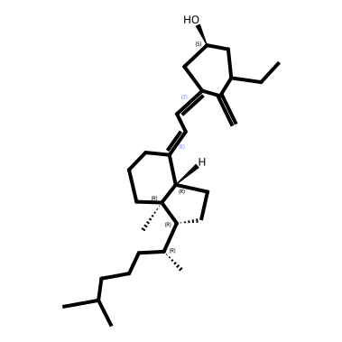 C=C1/C(=C\C=C2/CCC[C@]3(C)[C@@H]([C@H](C)CCCC(C)C)CC[C@@H]23)C[C@@H](O)CC1CC